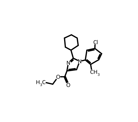 CCOC(=O)c1cn(-c2cc(Cl)ccc2C)c(C2CCCCC2)n1